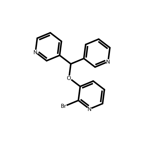 Brc1ncccc1OC(c1cccnc1)c1cccnc1